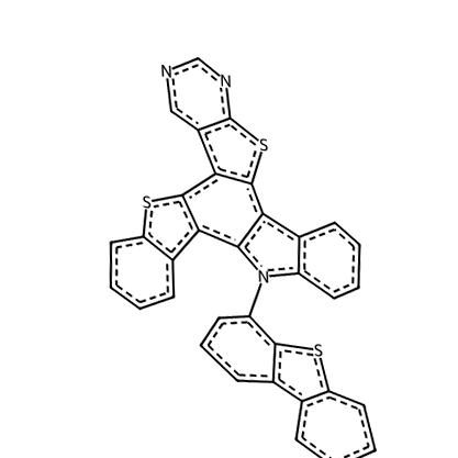 c1ccc2c(c1)sc1c(-n3c4ccccc4c4c5sc6ncncc6c5c5sc6ccccc6c5c43)cccc12